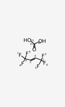 FC(F)(F)C=CC(F)(F)F.O=C(O)O